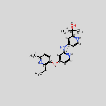 CCc1nc(C)ccc1Oc1ccnc(Nc2ccnc(C(C)(C)O)c2)c1